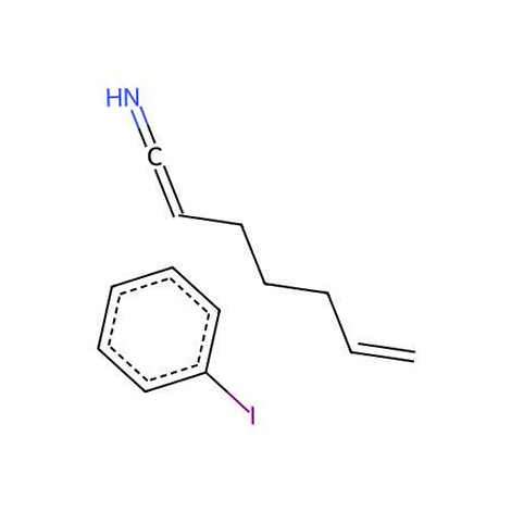 C=CCCCC=C=N.Ic1ccccc1